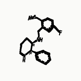 CSc1ccc(F)cc1CN[C@@H]1CCCN[C@@H]1c1ccccc1